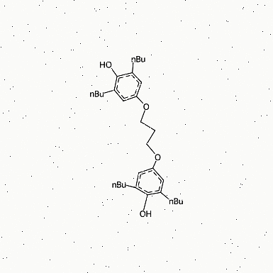 CCCCc1cc(OCCCOc2cc(CCCC)c(O)c(CCCC)c2)cc(CCCC)c1O